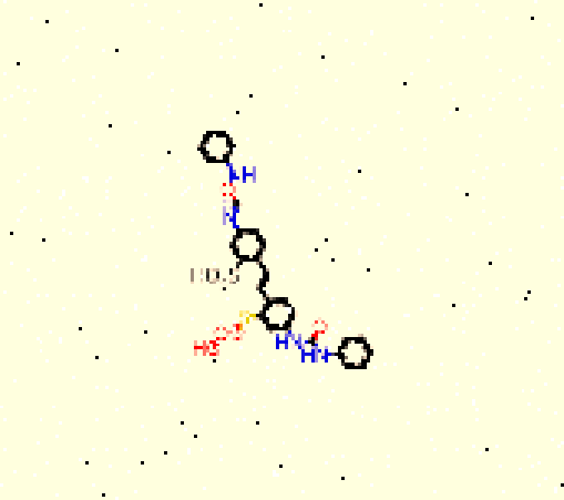 O=C(Nc1ccccc1)Nc1ccc(C=Cc2ccc(/N=C/ONc3ccccc3)cc2S(=O)(=O)O)c(SOOO)c1